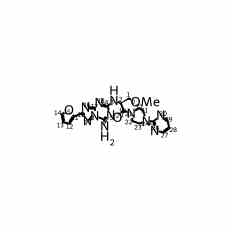 COC[C@H](Nc1nc(N)n2nc(-c3ccco3)nc2n1)C(=O)N1CCN(c2ncccn2)CC1